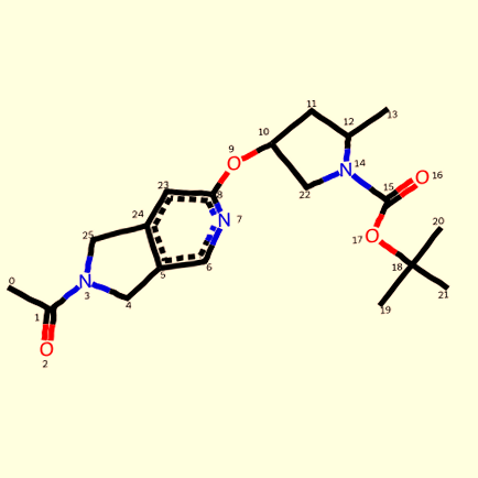 CC(=O)N1Cc2cnc(OC3CC(C)N(C(=O)OC(C)(C)C)C3)cc2C1